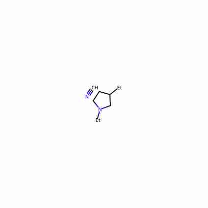 C#N.CCC1CCN(CC)C1